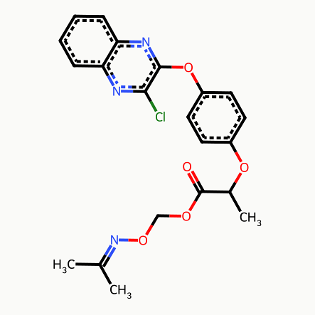 CC(C)=NOCOC(=O)C(C)Oc1ccc(Oc2nc3ccccc3nc2Cl)cc1